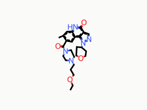 CCOCCCN1CCN(C(=O)c2cc3c(cc2C)[nH]c(=O)c2cnn(C4CCOCC4)c23)CC1